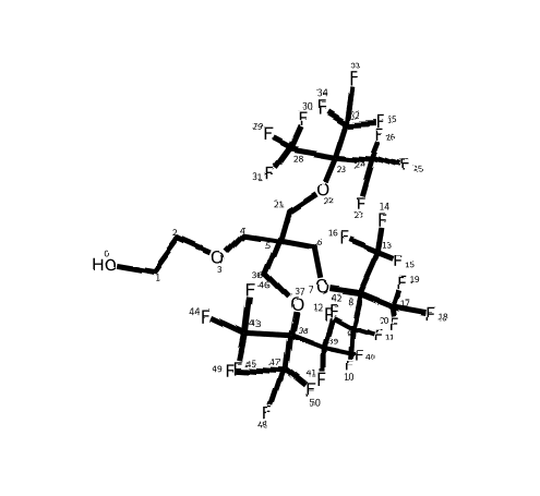 OCCOCC(COC(C(F)(F)F)(C(F)(F)F)C(F)(F)F)(COC(C(F)(F)F)(C(F)(F)F)C(F)(F)F)COC(C(F)(F)F)(C(F)(F)F)C(F)(F)F